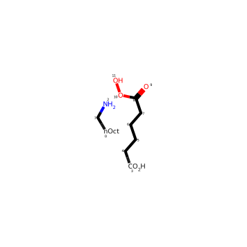 CCCCCCCCCN.O=C(O)CCCCC(=O)OO